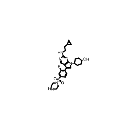 O=S(=O)(c1ccc(-c2cn([C@H]3CC[C@H](O)CC3)c3nc(NCCC4CC4)ncc23)c(F)c1)N1CCNCC1